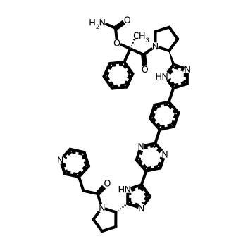 C[C@](OC(N)=O)(C(=O)N1CCC[C@H]1c1ncc(-c2ccc(-c3ncc(-c4cnc([C@@H]5CCCN5C(=O)Cc5cccnc5)[nH]4)cn3)cc2)[nH]1)c1ccccc1